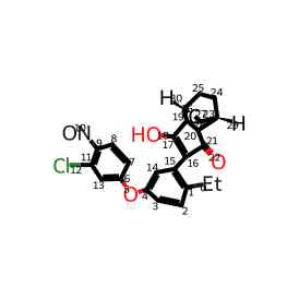 CCc1ccc(Oc2ccc(N=O)c(Cl)c2)cc1C1=C(O)C2C(C1=O)[C@H]1CC[C@@H]2CC1